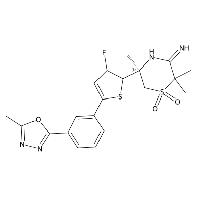 Cc1nnc(-c2cccc(C3=CC(F)C([C@]4(C)CS(=O)(=O)C(C)(C)C(=N)N4)S3)c2)o1